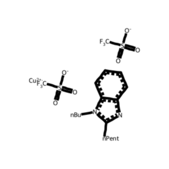 CCCCCc1nc2ccccc2n1CCCC.O=S(=O)([O-])C(F)(F)F.O=S(=O)([O-])C(F)(F)F.[Cu+2]